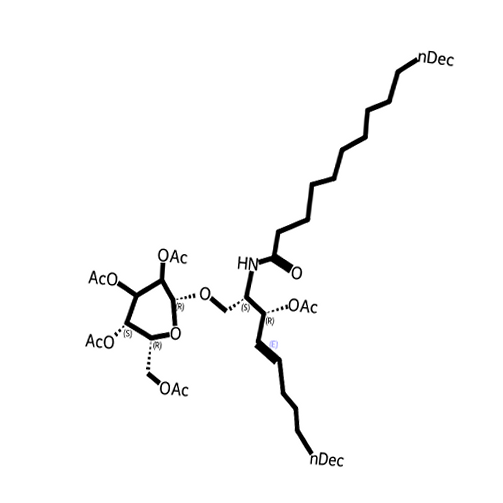 CCCCCCCCCCCCC/C=C/[C@@H](OC(C)=O)[C@H](CO[C@@H]1O[C@H](COC(C)=O)[C@H](OC(C)=O)C(OC(C)=O)C1OC(C)=O)NC(=O)CCCCCCCCCCCCCCCCCCC